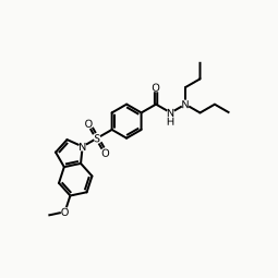 CCCN(CCC)NC(=O)c1ccc(S(=O)(=O)n2ccc3cc(OC)ccc32)cc1